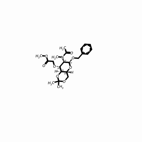 COC(=O)CO[C@H]1[C@@H]2OC(C)(C)OC[C@H]2O[C@H](OCc2ccccc2)[C@@H]1N(C)C(C)=O